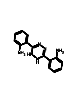 Nc1ccccc1C1=NN=C(c2ccccc2N)NN1